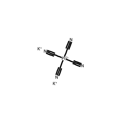 N#[C][Pt-2]([C]#N)([C]#N)[C]#N.[K+].[K+]